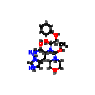 C[C@@H](Oc1ccccc1)C(=O)N(C(=O)N1CCOCC1)[C@@H](Cc1c[nH]cn1)C(N)=O